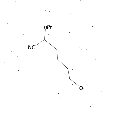 CCCC(C#N)CCCC[O]